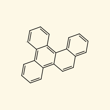 [c]1cccc2c1c1ccccc1c1ccc3ccccc3c21